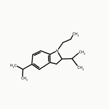 CCCN1c2ccc(C(C)C)cc2CC1C(C)C